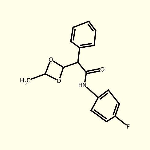 CC1OC(C(C(=O)Nc2ccc(F)cc2)c2ccccc2)O1